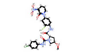 CO[C@@H]1C[C@H](C(=O)Nc2ccc(-n3cccc([N+](=O)[O-])c3=O)cc2F)N(C(=O)Nc2ccc(Cl)cc2)C1